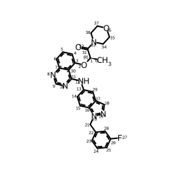 C[C@@H](Oc1cccc2ncnc(Nc3ccc4c(cnn4Cc4cccc(F)c4)c3)c12)C(=O)N1CCOCC1